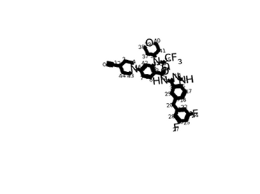 C#CC1CCN(c2ccc(C(=O)Nc3n[nH]c4ccc(Cc5cc(F)cc(F)c5)cc34)c(N(C(=O)C(F)(F)F)C3CCOCC3)c2)CC1